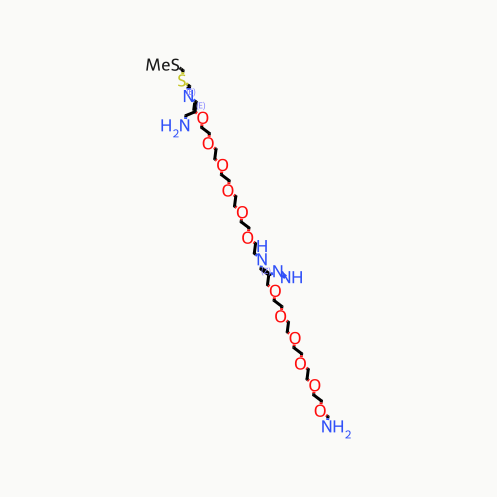 CSCS/C=N/C=C(\CN)OCCOCCOCCOCCOCCOCCN/C=C(/COCCOCCOCCOCCOCCOCN)N=N